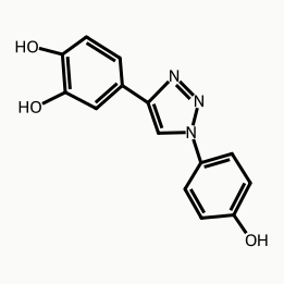 Oc1ccc(-n2cc(-c3ccc(O)c(O)c3)nn2)cc1